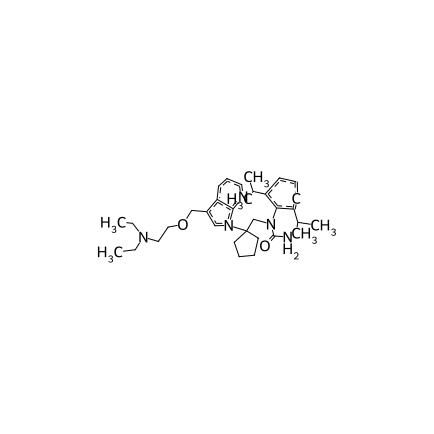 CCN(CC)CCOCc1cn(C2(CN(C(N)=O)c3c(C(C)C)cccc3C(C)C)CCCC2)c2ncccc12